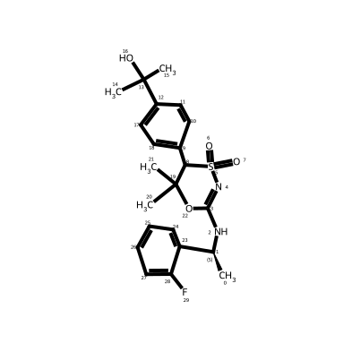 C[C@H](NC1=NS(=O)(=O)C(c2ccc(C(C)(C)O)cc2)C(C)(C)O1)c1ccccc1F